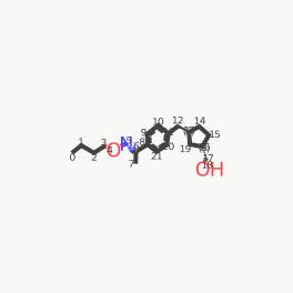 CCCCO/N=C(\C)c1ccc(C[C@H]2CC[C@H](CO)C2)cc1